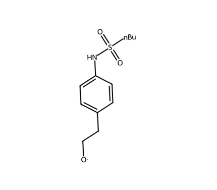 CCCCS(=O)(=O)Nc1ccc(CC[O])cc1